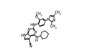 COc1cc(-n2cc(C)nc2C)ccc1Nc1nc(NC2CCCCC2)c2c(C#N)c[nH]c2n1